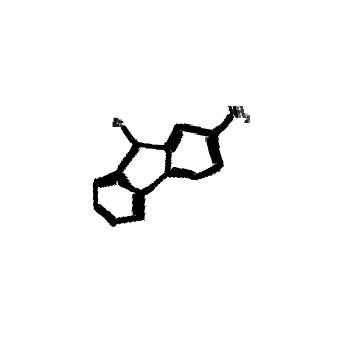 CCC1c2ccccc2-c2ccc(N)cc21